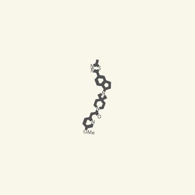 COc1ccc(CC(=O)N2CCC3(CC2)CN(C2CCc4cc(-c5nnc(C)s5)ccc42)C3)nc1